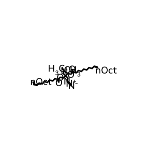 CCCCCCCC/C=C\CCCCCCCC(=O)OCC(CN=[N+]=[N-])(COC(=O)CCCCCCC/C=C\CCCCCCCC)CN(C)C